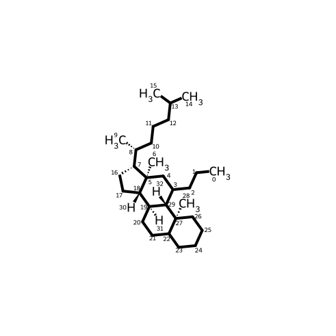 CCCC1C[C@]2(C)[C@@H]([C@H](C)CCCC(C)C)CC[C@H]2[C@@H]2CCC3CCCC[C@]3(C)[C@@H]12